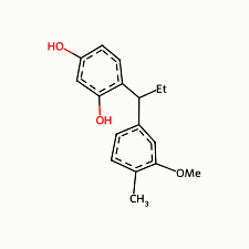 CCC(c1ccc(C)c(OC)c1)c1ccc(O)cc1O